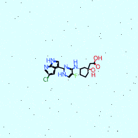 O=C(O)C[C@]1(O)CCC[C@H](NC2=NC(c3c[nH]c4ncc(Cl)cc34)NC=C2F)C1